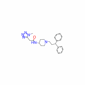 Cn1nnnc1CC(=O)NC1CCN(CCC(c2ccccc2)c2ccccc2)CC1